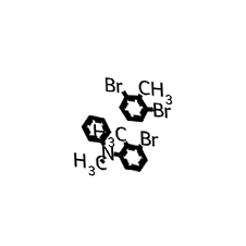 Cc1c(Br)cccc1Br.Cc1c(Br)cccc1N(C)c1ccccc1